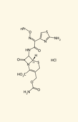 CCCON=C(C(=O)NC1C(=O)N2C(C(=O)O)=C(COC(N)=O)CS[C@@H]12)c1csc(N)n1.Cl